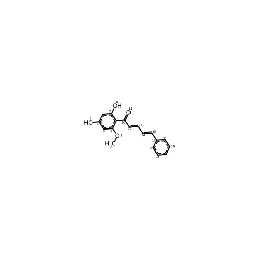 COc1cc(O)cc(O)c1C(=O)/C=C/C=C/c1ccccc1